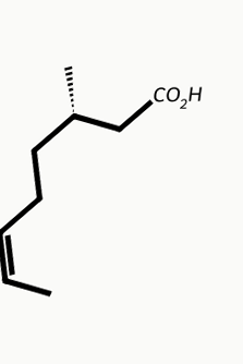 C/C=C\CC[C@H](C)CC(=O)O